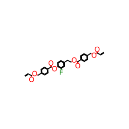 C=CC(=O)OCc1ccc(C(=O)OCCc2ccc(OC(=O)c3ccc(COC(=O)C=C)cc3)c(F)c2)cc1